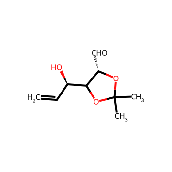 C=C[C@@H](O)C1OC(C)(C)O[C@H]1C=O